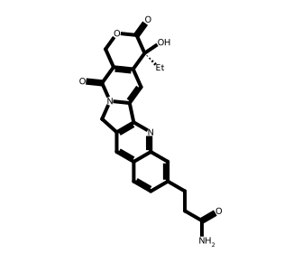 CC[C@@]1(O)C(=O)OCc2c1cc1n(c2=O)Cc2cc3ccc(CCC(N)=O)cc3nc2-1